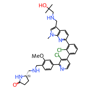 COc1cc(-c2nccc(-c3cccc(-c4ccc5c(CNCC(C)(C)O)cn(C)c5n4)c3Cl)c2Cl)ccc1CNC[C@@H]1CCC(=O)N1